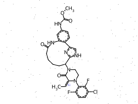 C/C=C1\C(=O)N(C2CCCCC(=O)Nc3cc(NC(=O)OC)ccc3-c3c[nH]c2n3)CCN1c1c(F)ccc(Cl)c1F